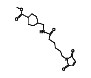 COC(=O)C1CCC(CNC(=O)CCCCCN2C(=O)C=CC2=O)CC1